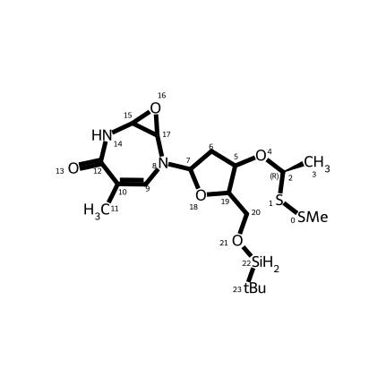 CSS[C@H](C)OC1CC(N2C=C(C)C(=O)NC3OC32)OC1CO[SiH2]C(C)(C)C